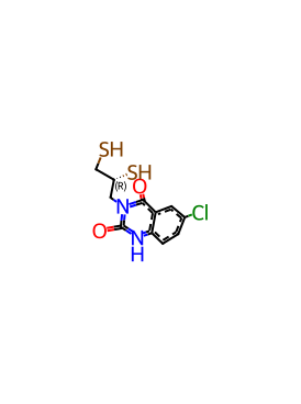 O=c1[nH]c2ccc(Cl)cc2c(=O)n1C[C@@H](S)CS